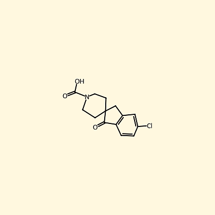 O=C(O)N1CCC2(CC1)Cc1cc(Cl)ccc1C2=O